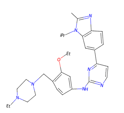 CCOc1cc(Nc2nccc(-c3ccc4nc(C)n(C(C)C)c4c3)n2)ccc1CN1CCN(CC)CC1